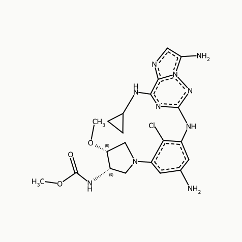 COC(=O)N[C@H]1CN(c2cc(N)cc(Nc3nc(NC4CC4)c4ncc(N)n4n3)c2Cl)C[C@H]1OC